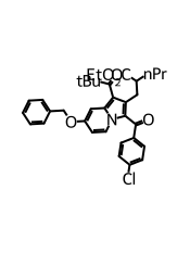 CCCC(Cc1c(C(=O)C(C)(C)C)c2cc(OCc3ccccc3)ccn2c1C(=O)c1ccc(Cl)cc1)C(=O)OCC